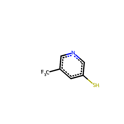 FC(F)(F)c1cncc(S)c1